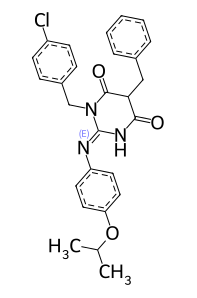 CC(C)Oc1ccc(/N=C2\NC(=O)C(Cc3ccccc3)C(=O)N2Cc2ccc(Cl)cc2)cc1